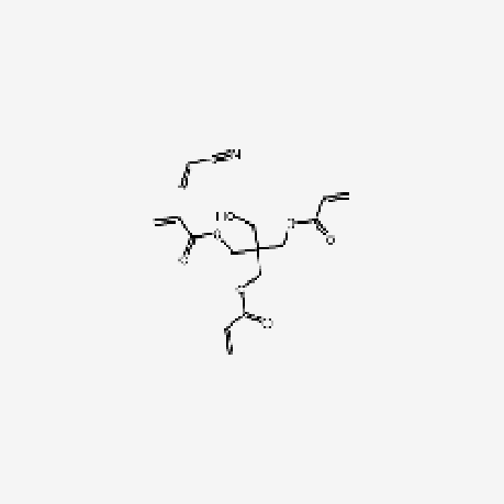 C=CC#N.C=CC(=O)OCC(CO)(COC(=O)C=C)COC(=O)C=C